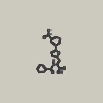 O=C(O)C(=Cc1ccc(-c2cccc([N+](=O)[O-])c2)o1)NC(=O)c1ccccc1